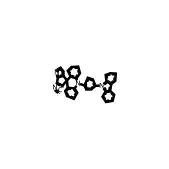 c1ccc2c(c1)N(c1ccc(-n3c4ccccc4c4ccccc43)cc1)c1ccccc1C21c2cccnc2-c2ncccc21